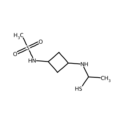 CC(S)NC1CC(NS(C)(=O)=O)C1